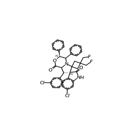 O=C1O[C@@H](c2ccccc2)C(c2ccccc2)N2C1C(c1cccc(Cl)c1)[C@@]1(C(=O)Nc3cc(Cl)ccc31)C21CC(CF)(CF)C1